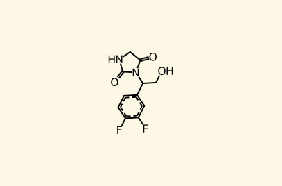 O=C1CNC(=O)N1C(CO)c1ccc(F)c(F)c1